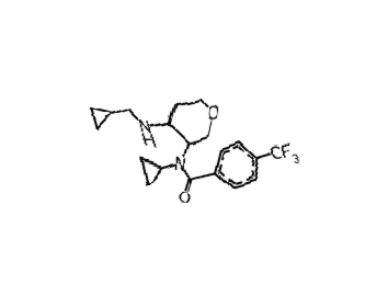 O=C(c1ccc(C(F)(F)F)cc1)N(C1CC1)C1COCCC1NCC1CC1